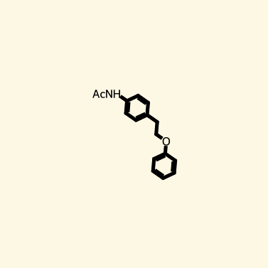 CC(=O)Nc1ccc(CCOc2ccccc2)cc1